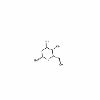 OCC1O[C@@H](O)CC(O)[C@@H]1O